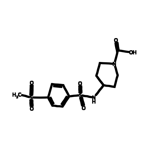 CS(=O)(=O)c1ccc(S(=O)(=O)NC2CCN(C(=O)O)CC2)cc1